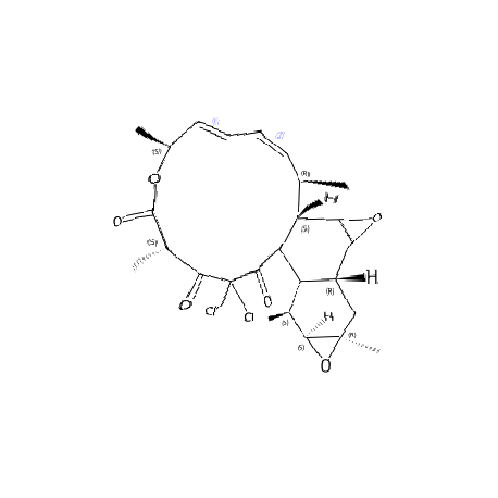 C[C@@H]1C(=O)O[C@@H](C)/C=C/C=C\[C@@H](C)[C@@H]2C3OC3[C@@H]3C[C@@]4(C)O[C@H]4[C@@H](C)C3C2C(=O)C(Cl)(Cl)C1=O